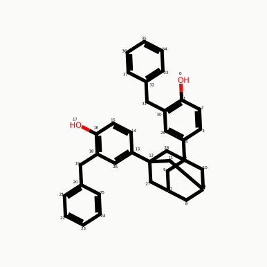 Oc1ccc(C23CC4CC(C2)CC(c2ccc(O)c(Cc5ccccc5)c2)(C4)C3)cc1Cc1ccccc1